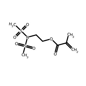 C=C(C)C(=O)OCCN(S(C)(=O)=O)S(C)(=O)=O